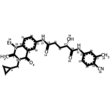 C=C1N(CC2CC2)C(=O)c2cc(NC(=O)CC[C@H](O)C(=O)Nc3ccc(C#N)c(C)c3)ccc2N1CC